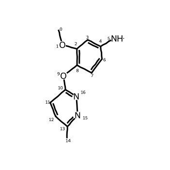 COc1cc([NH])ccc1Oc1ccc(C)nn1